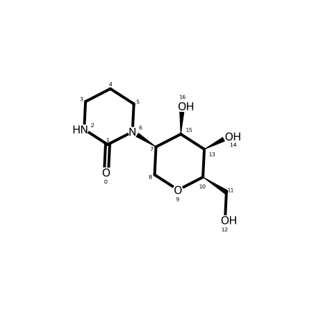 O=C1NCCCN1[C@@H]1CO[C@H](CO)[C@H](O)[C@@H]1O